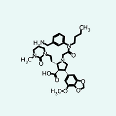 CCCCN(C(=O)CN1C[C@H](c2cc(OC)c3c(c2)OCO3)[C@@H](C(=O)O)[C@@H]1CCN1CCCN(C)C1=O)c1cccc(CN)c1